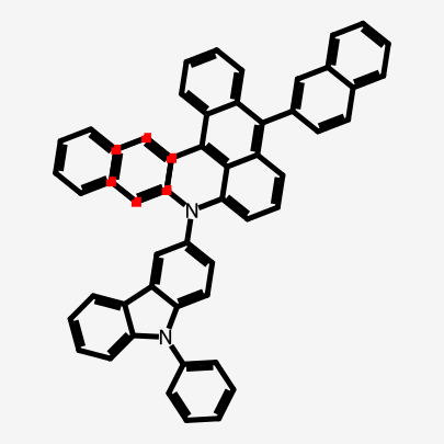 c1ccc(N(c2ccc3c(c2)c2ccccc2n3-c2ccccc2)c2cccc3c(-c4ccc5ccccc5c4)c4ccccc4c(-c4ccc5ccccc5c4)c23)cc1